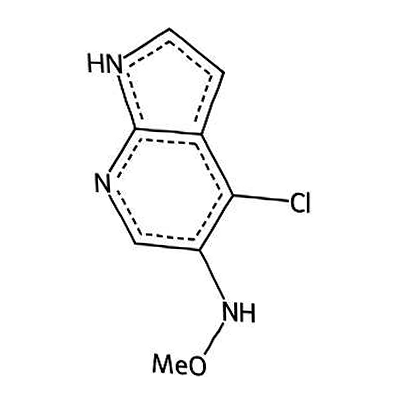 CONc1cnc2[nH]ccc2c1Cl